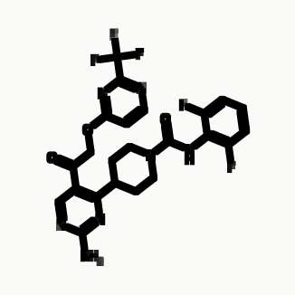 Nc1ncc(C(=O)COc2ccnc(C(F)(F)F)n2)c(C2CCN(C(=O)Nc3c(F)cccc3F)CC2)n1